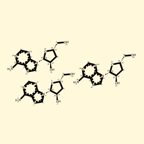 Nc1ncnc2c1ncn2[C@@H]1O[C@H](CO)C[C@H]1O.Nc1ncnc2c1ncn2[C@@H]1O[C@H](CO)C[C@H]1O.Nc1ncnc2c1ncn2[C@@H]1O[C@H](CO)C[C@H]1O